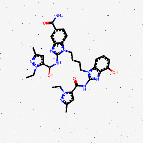 CCn1nc(C)cc1C(=O)Nc1nc2c(O)cccc2n1CCCCn1c(NC(O)c2cc(C)nn2CC)nc2cc(C(N)=O)ccc21